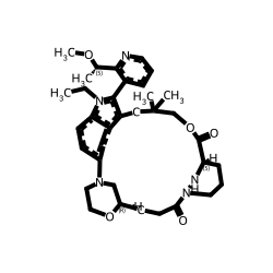 CCn1c(-c2cccnc2[C@H](C)OC)c2c3cc(ccc31)N1CCO[C@H](CCC(=O)N3CCC[C@H](N3)C(=O)OCC(C)(C)C2)C1